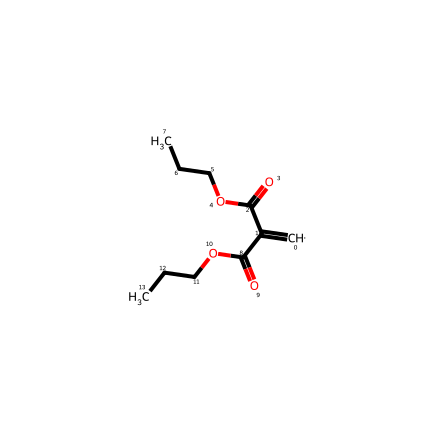 [CH]=C(C(=O)OCCC)C(=O)OCCC